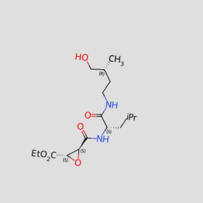 CCOC(=O)[C@H]1O[C@@H]1C(=O)N[C@@H](CC(C)C)C(=O)NCC[C@@H](C)CO